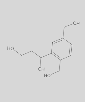 OCCC(O)c1cc(CO)ccc1CO